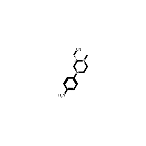 CN1CCN(c2ccc(N)cc2)C[C@@H]1CC#N